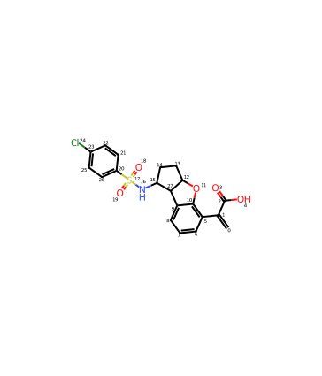 C=C(C(=O)O)c1cccc2c1OC1CCC(NS(=O)(=O)c3ccc(Cl)cc3)C21